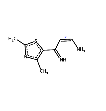 Cc1nc(C)c(C(=N)/C=C\N)s1